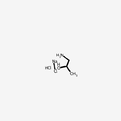 CC(O)CN.Cl.[Na][Cl]